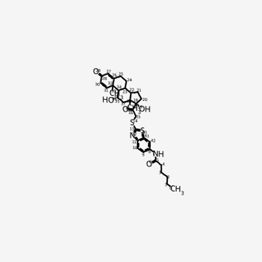 CCCCCC(=O)Nc1ccc2nc(SCC(=O)[C@@]3(O)CCC4C5CCC6=CC(=O)C=CC6(C)C5[C@@H](O)CC43C)sc2c1